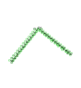 CC(Cl)(Cl)Cl.ClC(Cl)Cl.ClC(Cl)Cl.ClC(Cl)Cl.ClC(Cl)Cl.ClC(Cl)Cl.ClC(Cl)Cl.ClC(Cl)Cl.ClC(Cl)Cl.ClC(Cl)Cl.ClC(Cl)Cl.ClC(Cl)Cl.ClC(Cl)Cl.ClC(Cl)Cl.ClC(Cl)Cl.ClC(Cl)Cl.ClC(Cl)Cl.ClC(Cl)Cl.ClC(Cl)Cl.ClC(Cl)Cl.ClC(Cl)Cl.ClC(Cl)Cl.ClC(Cl)Cl.ClC(Cl)Cl.ClC(Cl)Cl.ClC(Cl)Cl.ClC(Cl)Cl.ClC(Cl)Cl.ClC(Cl)Cl.ClC(Cl)Cl